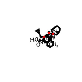 Cc1cc(C(=O)O)cc2sc(N3C4CCC3CC(NCc3c(-c5ccccc5C(F)(F)F)noc3C3CC3)C4)nc12